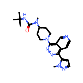 CN(C(=O)NC(C)(C)C)C1CCN(c2nnc(-c3ccnn3C)c3ccncc23)CC1